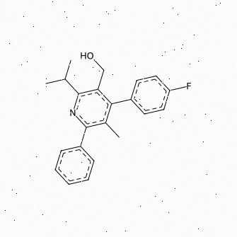 Cc1c(-c2ccccc2)nc(C(C)C)c(CO)c1-c1ccc(F)cc1